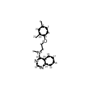 Cc1ccc(OCCN(C)c2ncnc3ccccc23)c(C)c1